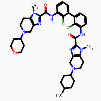 CC1CCC(N2CCc3c(nc(C(=O)Nc4cccc(-c5cccc(NC(=O)c6nc7c(n6C)CCN(C6CCOCC6)C7)c5Cl)c4Cl)n3C)C2)CC1